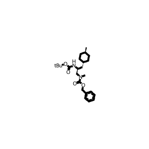 CN(C[C@H](C[C@H]1CC[C@H](C)CC1)NC(=O)OC(C)(C)C)C(=O)OCc1ccccc1